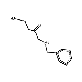 NCCC(=O)CNCc1ccccc1